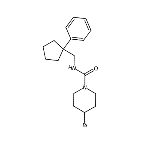 O=C(NCC1(c2ccccc2)CCCC1)N1CCC(Br)CC1